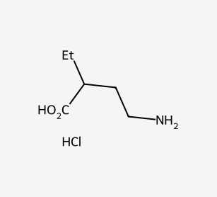 CCC(CCN)C(=O)O.Cl